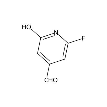 O=Cc1cc(O)nc(F)c1